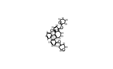 Oc1ccccc1C1=C(c2ccccc2OC2CCOCC2)CCCc2c(OC3CCCCO3)cccc21